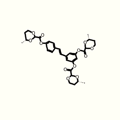 C[C@@H]1CCOC(C(=O)Oc2ccc(/C=C/c3cc(OC(=O)C4OCC[C@@H](C)O4)cc(OC(=O)C4OCC[C@@H](C)O4)c3)cc2)O1